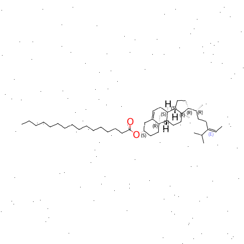 C/C=C(\CC[C@@H](C)[C@H]1CC[C@H]2[C@@H]3CC=C4C[C@@H](OC(=O)CCCCCCCCCCCCCCC)CC[C@]4(C)[C@H]3CC[C@]12C)C(C)C